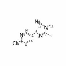 CC(=NCc1ccc(Cl)nc1)N(C)C#N